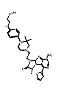 COCCOc1ccc(N2CCN(CCN3C(=O)N(C)N4C5=C(c6ccco6)N=CN(N)C5=NC34)CC2(C)C)cc1